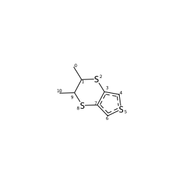 CC1Sc2cscc2SC1C